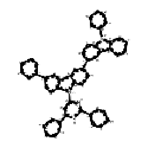 c1ccc(-c2ccc3c(c2)c2cc(-c4ccc5c(c4)c4ccccc4n5-c4ccccc4)ccc2n3-c2cc(-c3ccccc3)nc(-c3ccccc3)n2)cc1